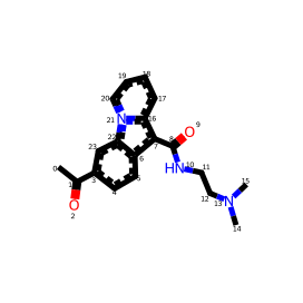 CC(=O)c1ccc2c(C(=O)NCCN(C)C)c3ccccn3c2c1